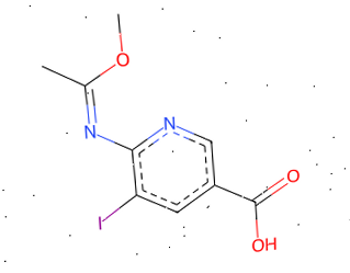 COC(C)=Nc1ncc(C(=O)O)cc1I